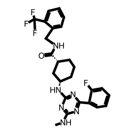 CNc1nc(N[C@H]2CCC[C@@H](C(=O)NCc3ccccc3C(F)(F)F)C2)nc(-c2ccccc2F)n1